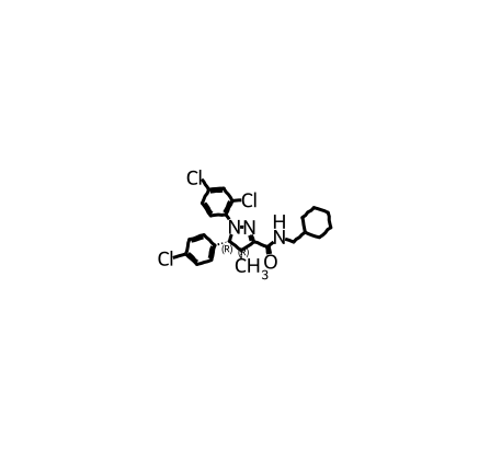 C[C@H]1C(C(=O)NCC2CCCCC2)=NN(c2ccc(Cl)cc2Cl)[C@H]1c1ccc(Cl)cc1